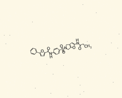 C=CC(=O)Nc1cc2c(o1)CN(S(=O)(=O)c1ccc(NC(=O)c3ccc(-c4ccccc4)o3)cc1)C2